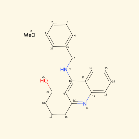 COc1cccc(CNc2c3c(nc4ccccc24)CCCC3O)c1